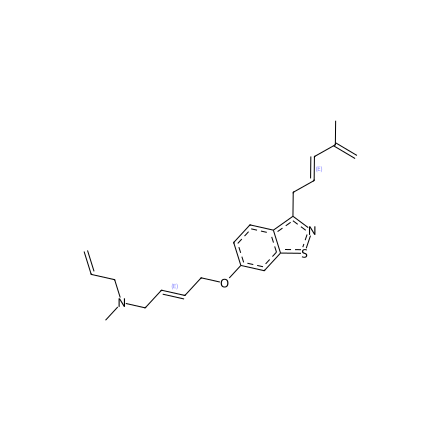 C=CCN(C)C/C=C/COc1ccc2c(C/C=C/C(=C)C)nsc2c1